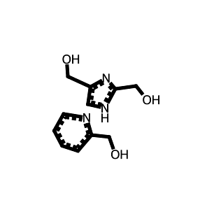 OCc1c[nH]c(CO)n1.OCc1ccccn1